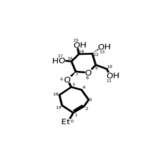 CCC1=CCCC(O[C@@H]2OC(CO)[C@@H](O)C(O)C2O)CC1